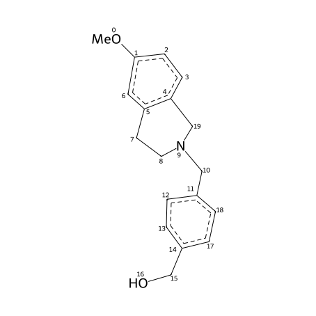 COc1ccc2c(c1)CCN(Cc1ccc(CO)cc1)C2